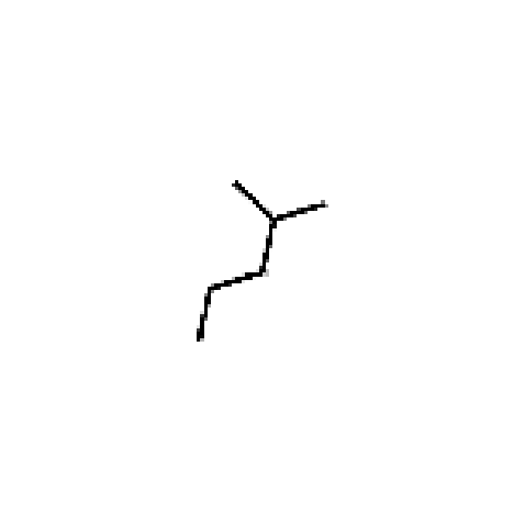 CC[C]C(C)C